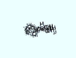 CC(C)(O)C(C)(C)OBc1ccc(N(c2ccccc2)c2ccc3ccc4ccc5ccccc5c4c3c2)cc1